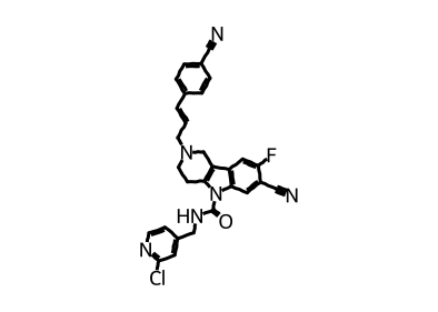 N#Cc1ccc(/C=C/CN2CCc3c(c4cc(F)c(C#N)cc4n3C(=O)NCc3ccnc(Cl)c3)C2)cc1